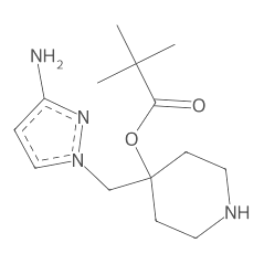 CC(C)(C)C(=O)OC1(Cn2ccc(N)n2)CCNCC1